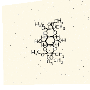 CO[C@@]1(C)O[C@@H]2[C@@H](O)[C@@H]3O[C@@](C)(OC)[C@](C)(OC)O[C@H]3[C@@H](O)[C@H]2O[C@]1(C)OC